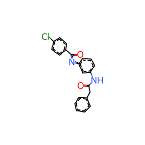 O=C(Cc1ccccc1)Nc1ccc2oc(-c3ccc(Cl)cc3)nc2c1